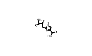 NC(=O)C(=O)Cc1nc(C(=O)O)c[nH]1